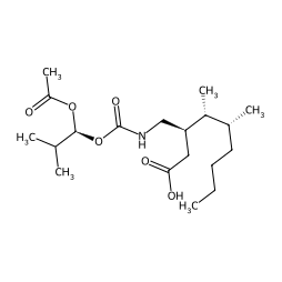 CCCC[C@@H](C)[C@@H](C)[C@H](CNC(=O)O[C@H](OC(C)=O)C(C)C)CC(=O)O